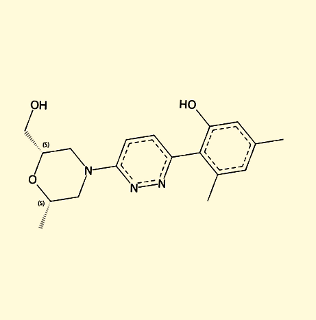 Cc1cc(C)c(-c2ccc(N3C[C@@H](CO)O[C@@H](C)C3)nn2)c(O)c1